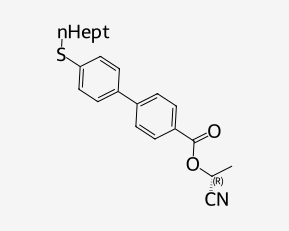 CCCCCCCSc1ccc(-c2ccc(C(=O)O[C@H](C)C#N)cc2)cc1